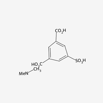 CNC.O=C(O)c1cc(C(=O)O)cc(S(=O)(=O)O)c1